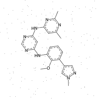 COc1c(Nc2cc(Nc3cc(C)nc(C)n3)ncn2)cccc1-c1cnn(C)c1